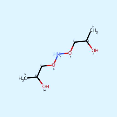 CC(O)CONOCC(C)O